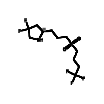 O=S(=O)(CCC[C@@H]1CC(F)(F)CN1)CCCC(F)(F)F